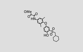 COC(=O)C(=O)Nc1cc(C)c(Oc2ccc(O)c(S(=O)(=O)CC3CCCCC3)c2)c(C)c1